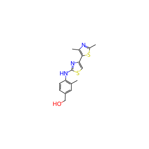 Cc1nc(C)c(-c2csc(Nc3ccc(CO)cc3C)n2)s1